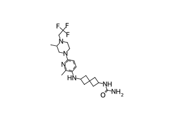 Cc1nc(N2CCN(CC(F)(F)F)C(C)C2)ccc1NC1CC2(CC(NC(N)=O)C2)C1